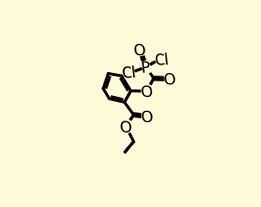 CCOC(=O)c1ccccc1OC(=O)P(=O)(Cl)Cl